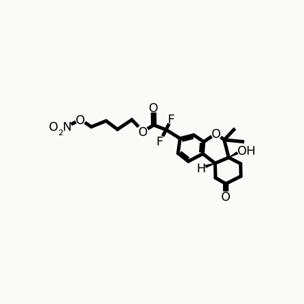 CC1(C)Oc2cc(C(F)(F)C(=O)OCCCCO[N+](=O)[O-])ccc2[C@H]2CC(=O)CC[C@]21O